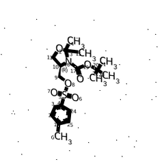 Cc1ccc(S(=O)(=O)OC[C@H]2COC(C)(C)N2C(=O)OC(C)(C)C)cc1